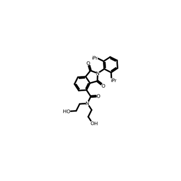 CC(C)c1cccc(C(C)C)c1N1C(=O)c2cccc(C(=O)N(CCO)CCO)c2C1=O